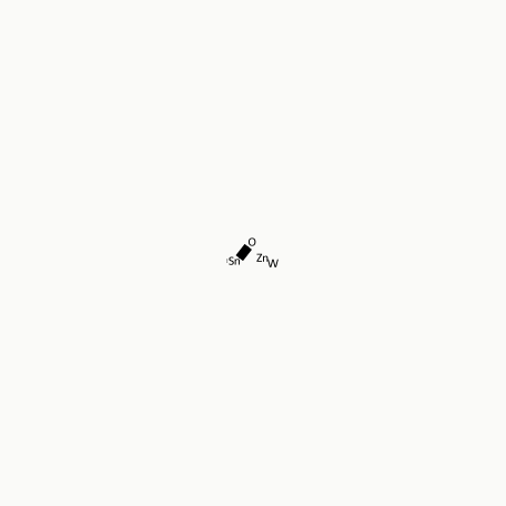 [O]=[Sn].[W].[Zn]